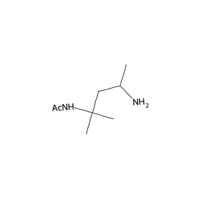 CC(=O)NC(C)(C)CC(C)N